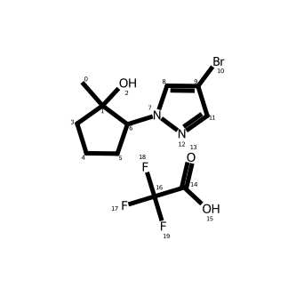 CC1(O)CCCC1n1cc(Br)cn1.O=C(O)C(F)(F)F